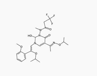 COc1ccccc1/C(=C/N1C=C(/C(C)=N/OC(C)C)C(=O)N(N(C)C(=O)CC(F)(F)F)C1O)OC(C)C